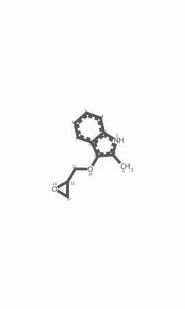 Cc1[nH]c2ccccc2c1OCC1CO1